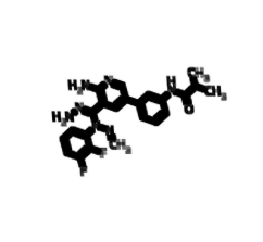 C=NN(/C(=N\N)c1cc(-c2cccc(NC(=O)C(C)C)c2)cnc1N)c1cccc(F)c1F